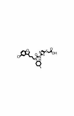 C[C@H]1CC[C@H](N(CCCC2COc3ccc(Cl)cc32)C(=O)Nc2ncc(SCC(=O)O)s2)CC1